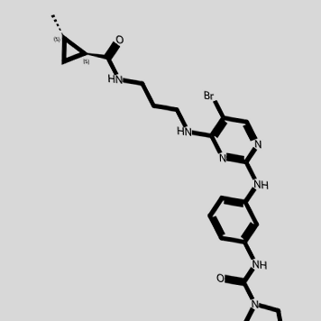 C[C@H]1C[C@@H]1C(=O)NCCCNc1nc(Nc2cccc(NC(=O)N3CCCC3)c2)ncc1Br